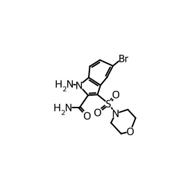 NC(=O)c1c(S(=O)(=O)N2CCOCC2)c2cc(Br)ccc2n1N